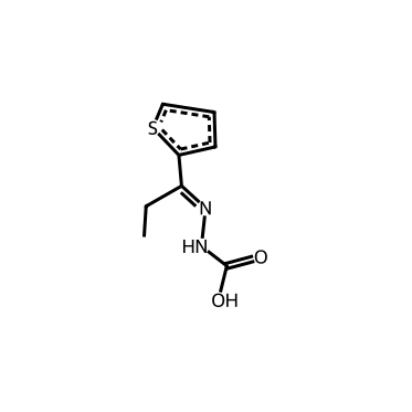 CCC(=NNC(=O)O)c1cccs1